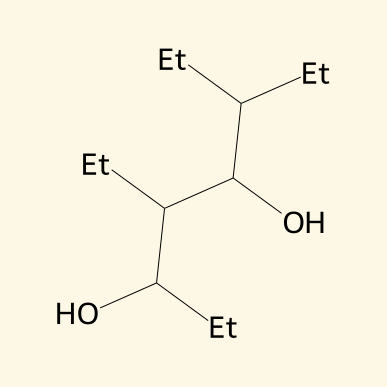 CCC(O)C(CC)C(O)C(CC)CC